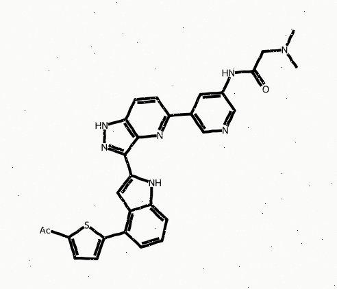 CC(=O)c1ccc(-c2cccc3[nH]c(-c4n[nH]c5ccc(-c6cncc(NC(=O)CN(C)C)c6)nc45)cc23)s1